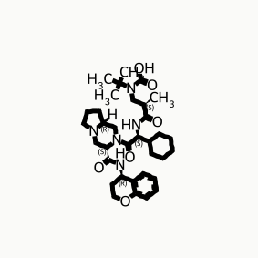 C[C@@H](CN(C(=O)O)C(C)(C)C)C(=O)N[C@H](C(=O)N1C[C@H]2CCCN2C[C@H]1C(=O)N[C@@H]1CCOc2ccccc21)C1CCCCC1